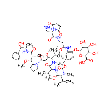 CC[C@H](C)[C@@H]([C@@H](CC(=O)N1CCC[C@H]1[C@H](OC)[C@@H](C)C(=O)N[C@H](C)[C@@H](O)c1ccccc1)OC)N(C)C(=O)[C@@H](NC(=O)[C@H](C(C)C)N(C)C(=O)OCc1ccc(O[C@@H]2O[C@H](C(=O)O)[C@@H](O)[C@H](O)[C@H]2O)c(NC(=O)CCNC(=O)[C@H](CN)N2C(=O)C=CC2=O)c1)C(C)C